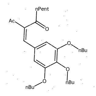 CCCCCC(=O)C(=Cc1cc(OCCCC)c(OCCCC)c(OCCCC)c1)C(C)=O